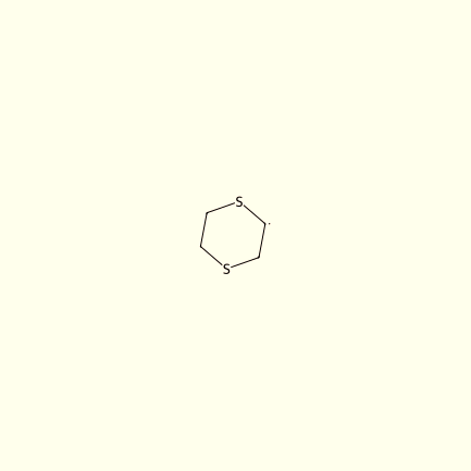 [CH]1CSCCS1